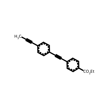 CC#Cc1ccc(C#Cc2ccc(C(=O)OCC)cc2)cc1